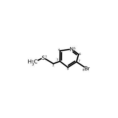 CSCc1cncc(Br)c1